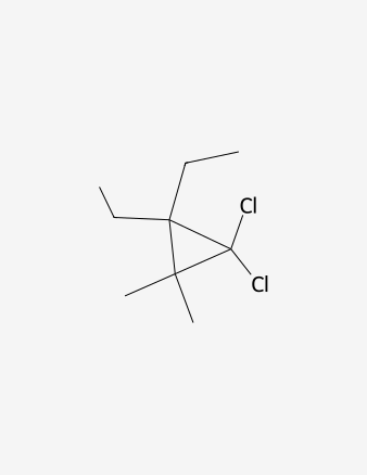 CCC1(CC)C(C)(C)C1(Cl)Cl